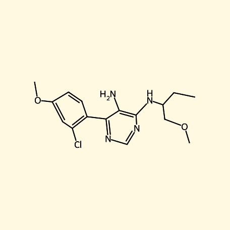 CCC(COC)Nc1ncnc(-c2ccc(OC)cc2Cl)c1N